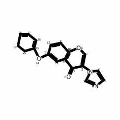 O=c1c(-n2ccnc2)coc2ccc(OC3=CC=CCC3)cc12